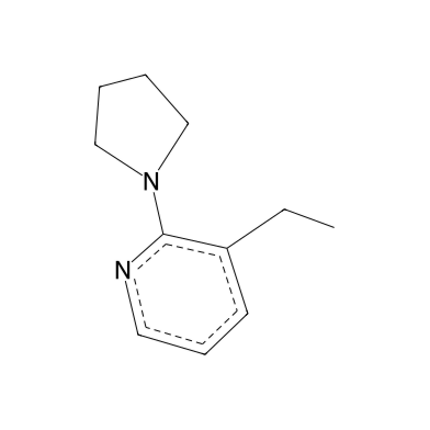 CCc1cccnc1N1CCCC1